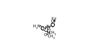 CC(=O)N(C)C(Cc1ccc(CN)cn1)c1nnc(-c2cccc(OC(F)(F)F)c2)s1